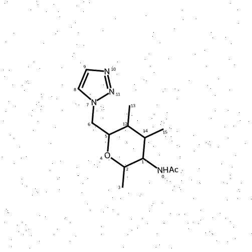 CC(=O)NC1C(C)OC(Cn2ccnn2)C(C)C1C